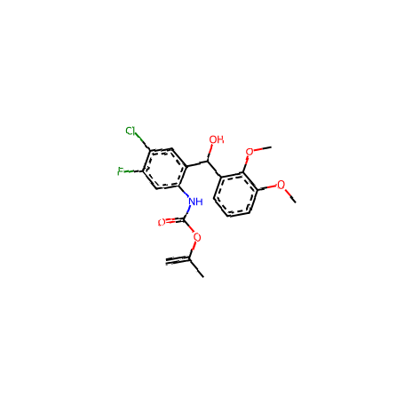 C=C(C)OC(=O)Nc1cc(F)c(Cl)cc1C(O)c1cccc(OC)c1OC